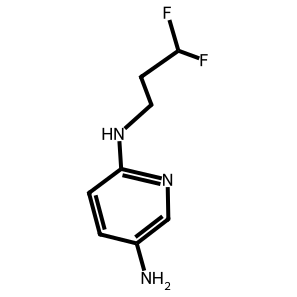 Nc1ccc(NCCC(F)F)nc1